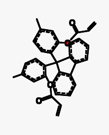 C=CC(=O)Oc1cc(C)ccc1C1(c2ccc(C)cc2OC(=O)C=C)c2ccccc2-c2ccccc21